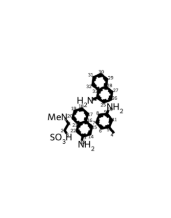 CNCCS(=O)(=O)O.Cc1cccc(N)c1.Nc1ccc2ccccc2c1.Nc1cccc2ccccc12